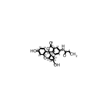 C=CC(=O)Nc1ccc2c(c1)C(=O)OC21c2ccc(O)cc2Oc2cc(O)ccc21